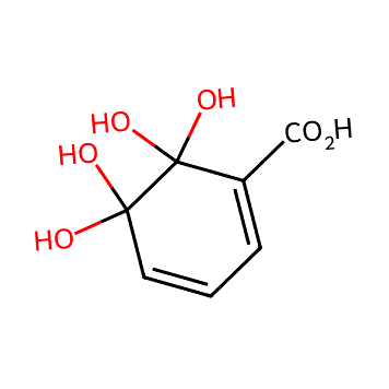 O=C(O)C1=CC=CC(O)(O)C1(O)O